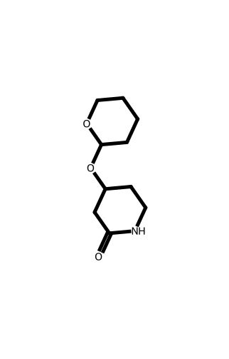 O=C1CC(OC2CCCCO2)CCN1